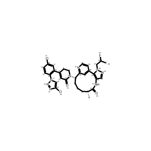 C[C@@H]1CCC[C@H](N2CCC(c3cc(Cl)ccc3-n3cc(Cl)nn3)=CC2=O)c2cc(ccn2)-c2c(cnn2CC(F)F)NC1=O